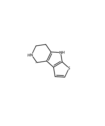 [C]1NCCc2[nH]c3sccc3c21